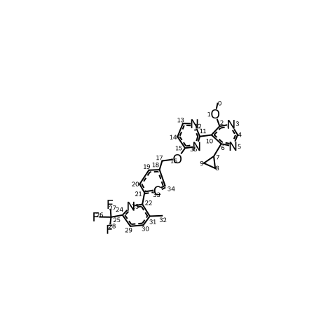 COc1ncnc(C2CC2)c1-c1nccc(OCc2ccc(-c3nc(C(F)(F)F)ccc3C)cc2)n1